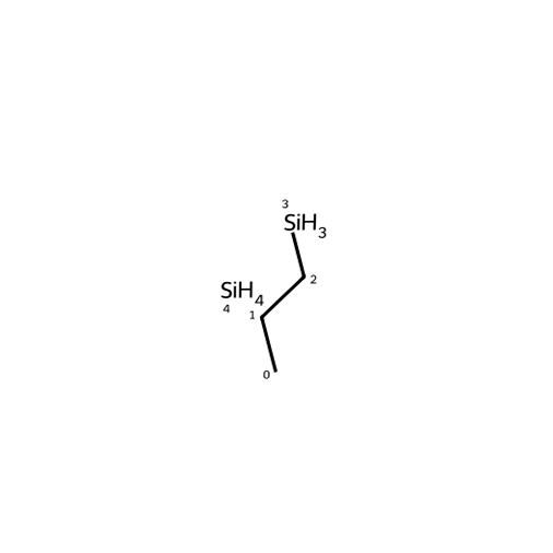 CCC[SiH3].[SiH4]